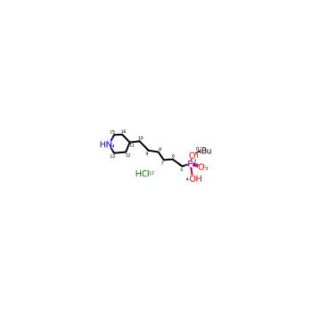 CCC(C)OP(=O)(O)CCCCCCC1CCNCC1.Cl